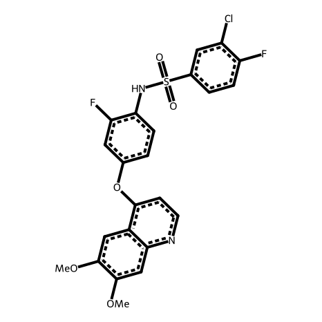 COc1cc2nccc(Oc3ccc(NS(=O)(=O)c4ccc(F)c(Cl)c4)c(F)c3)c2cc1OC